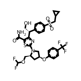 NC(=O)c1sc(N2C[C@@H](Oc3ccc(C(F)(F)F)cc3)C[C@H]2COC(F)F)nc1[C@H](CO)c1ccc(S(=O)(=O)CC2CC2)cc1